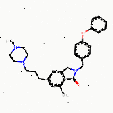 Cc1cc(CCCN2CCN(C)CC2)cc2c1C(=O)N(Cc1ccc(Oc3ccccc3)cc1)C2